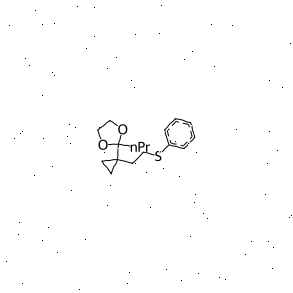 CCCC1(C2(CCSc3ccccc3)CC2)OCCO1